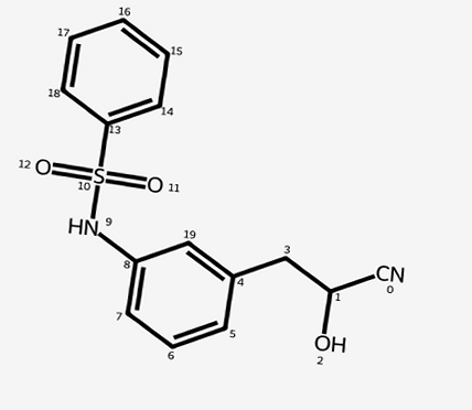 N#CC(O)Cc1cccc(NS(=O)(=O)c2ccccc2)c1